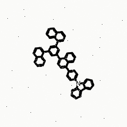 c1ccc2c(-c3cc(-c4cccc5ccccc45)cc(-c4ccc(-c5ccc(-n6c7ccccc7c7ccccc76)cc5)c5ccccc45)c3)cccc2c1